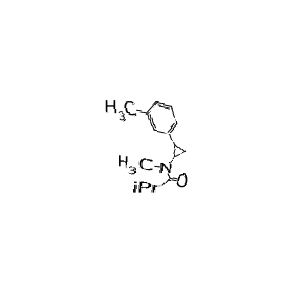 Cc1cccc(C2CC2N(C)C(=O)C(C)C)c1